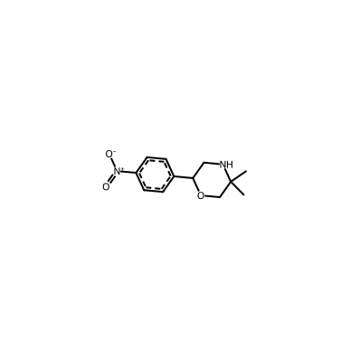 CC1(C)COC(c2ccc([N+](=O)[O-])cc2)CN1